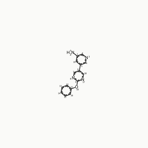 Nc1cncc(-c2cnc(Oc3ccccc3)nc2)c1